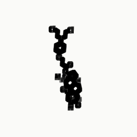 C[C@]12CC(=O)[C@H]3[C@@H](CCC4=CC(=O)NCC[C@@]43C)[C@@H]1CC[C@@H]2OC(=O)CCOc1ccc(N(CCCl)CCCl)cc1